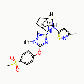 Cc1cc(N2C[C@H]3CC[C@@H](C2)[C@@H]3Nc2nc(Oc3ccc(S(C)(=O)=O)cc3)n(C(C)C)n2)sn1